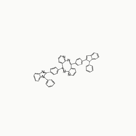 C1=C(c2ccc(/C3=N/c4ncccc4/C(c4ccc(-c5nc6ccccc6n5-c5ccccc5)cc4)=N\c4ncccc43)cc2)C(c2ccccc2)c2ccccc21